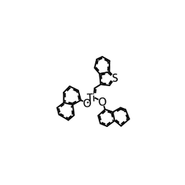 [CH](c1csc2ccccc12)=[Ti]([O]c1cccc2ccccc12)[O]c1cccc2ccccc12